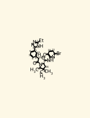 CCc1nnc(-c2cccc(CC(=O)N3[C@H](C(=O)Nc4nc(Br)ccc4C)CC(C)(C)[C@H]3C)c2)[nH]1